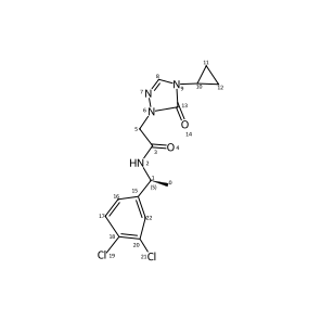 C[C@H](NC(=O)Cn1ncn(C2CC2)c1=O)c1ccc(Cl)c(Cl)c1